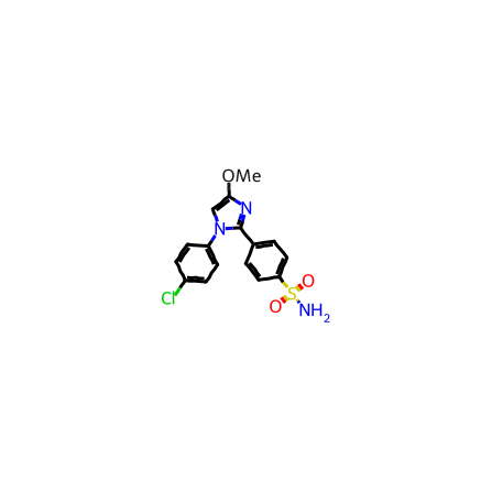 COc1cn(-c2ccc(Cl)cc2)c(-c2ccc(S(N)(=O)=O)cc2)n1